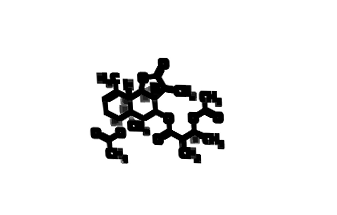 C=C1C(=O)O[C@H]2C1C(OC(=O)C(=C)[C@H](C)OC(C)=O)C[C@]1(C)[C@@H]2C(C)=CC[C@H]1OC(C)=O